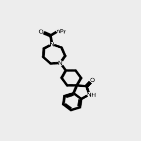 CCCC(=O)N1CCCN(C2CCC3(CC2)C(=O)Nc2ccccc23)CC1